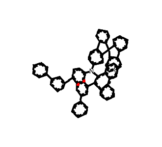 c1ccc(-c2cccc(-c3ccc(N(c4ccc5c(c4)C4(c6ccccc6-c6ccccc64)c4ccccc4-5)c4c(-c5cccc(-c6ccccc6)c5)c5ccccc5c5ccccc45)cc3)c2)cc1